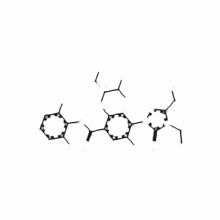 CCn1c(CO)nn(-c2cc(O[C@@H](CF)C(F)F)c(C(=O)Nc3c(F)cccc3Cl)cc2F)c1=O